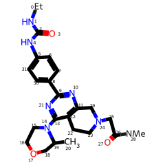 CCNC(=O)Nc1ccc(-c2nc3c(c(N4CCOCC4C)n2)CCN(CC(=O)NC)C3)cc1